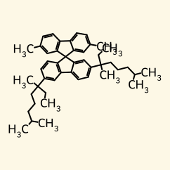 CCC(C)(CCCC(C)C)c1ccc2c(c1)-c1ccc(C(C)(CC)CCCC(C)C)cc1C21c2cc(C)ccc2-c2ccc(C)cc21